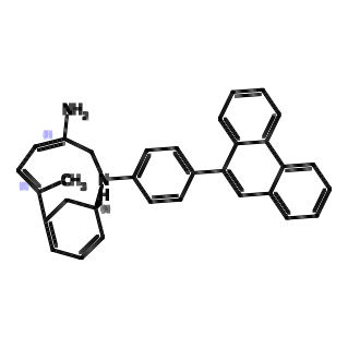 C/C1=C\C=C(\N)CN(c2ccc(-c3cc4ccccc4c4ccccc34)cc2)[C@@H]2C=CC=C1C2